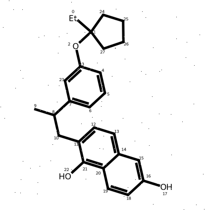 CCC1(Oc2cccc(C(C)Cc3ccc4cc(O)ccc4c3O)c2)CCCC1